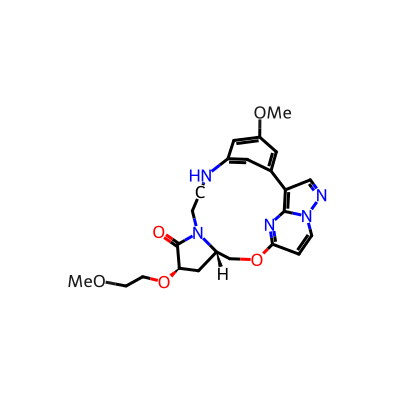 COCCO[C@@H]1C[C@H]2COc3ccn4ncc(c4n3)-c3cc(cc(OC)c3)NCCN2C1=O